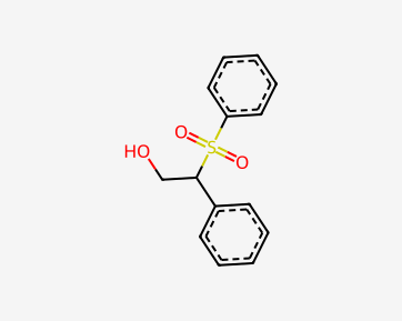 O=S(=O)(c1ccccc1)C(CO)c1ccccc1